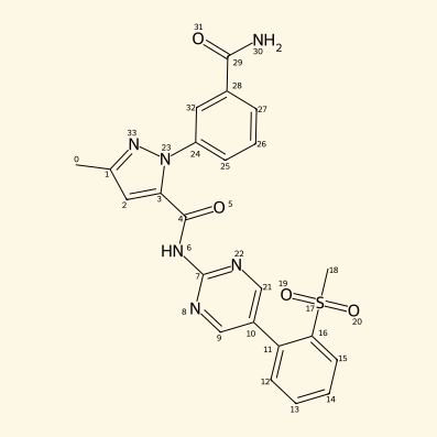 Cc1cc(C(=O)Nc2ncc(-c3ccccc3S(C)(=O)=O)cn2)n(-c2cccc(C(N)=O)c2)n1